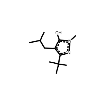 CC(C)Cc1c(C(C)(C)C)nn(C)c1O